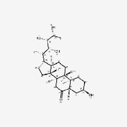 CC(C)[C@H](C)[C@@H](O)[C@H](O)[C@@H](C)[C@H]1CC[C@H]2[C@@H]3CC(=O)[C@H]4C[C@H](O)CC[C@]4(C)[C@H]3CC[C@]12C